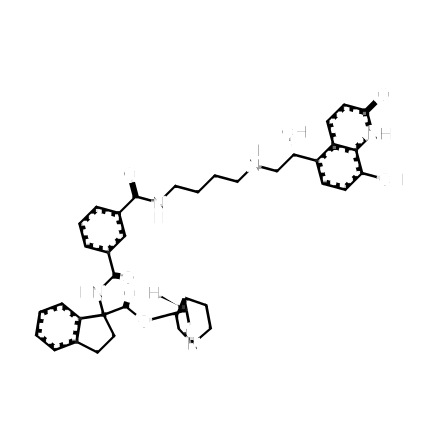 O=C(NCCCCNC[C@H](O)c1ccc(O)c2[nH]c(=O)ccc12)c1cccc(C(=O)NC2(C(=O)O[C@H]3CN4CCC3CC4)CCc3ccccc32)c1